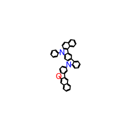 c1ccc(-n2c3cc4c(cc3c3c5ccccc5ccc32)c2ccccc2n4-c2ccc3oc4cc5ccccc5cc4c3c2)cc1